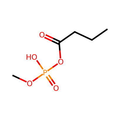 CCCC(=O)OP(=O)(O)OC